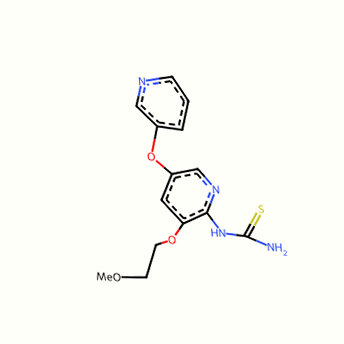 COCCOc1cc(Oc2cccnc2)cnc1NC(N)=S